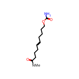 CNC(=O)CCCC=CCCCCOC(N)=O